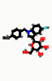 COc1ccc(Cn2cc([C@@H]3O[C@H](CO)[C@@H](O)[C@H](O)[C@H]3O)c3cc(F)ccc32)cc1